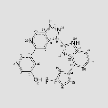 Oc1cncc(-c2cc3c(-c4nc5c(-c6ccc(F)s6)cccc5[nH]4)n[nH]c3cn2)c1